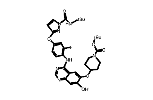 CC(C)(C)NC(=O)n1ccc(Oc2ccc(Nc3ncnc4cc(O)c(OC5CCN(C(=O)OC(C)(C)C)CC5)cc34)c(F)c2)n1